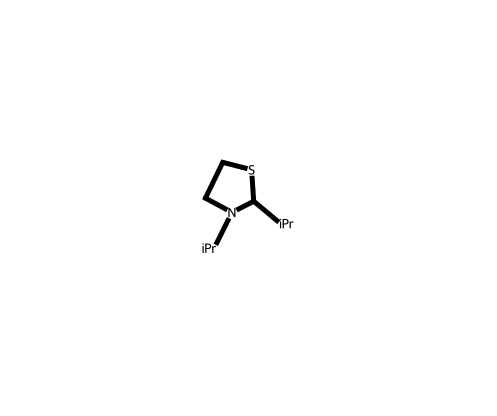 CC(C)C1SCCN1C(C)C